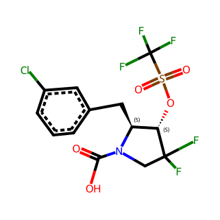 O=C(O)N1CC(F)(F)[C@@H](OS(=O)(=O)C(F)(F)F)[C@@H]1Cc1cccc(Cl)c1